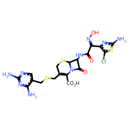 Nc1ncc(CSCC2=C(C(=O)O)N3C(=O)C(NC(=O)C(=NO)c4nc(N)sc4Cl)C3SC2)c(N)n1